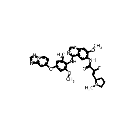 COc1cc2ncnc(Nc3c(C)cc(Oc4ccn5ncnc5c4)cc3OC)c2cc1NC(=O)C(F)=CC1CCCN1C